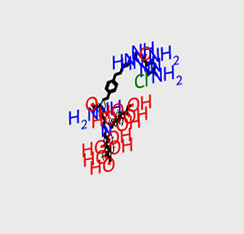 N=C(NCCCCc1ccc(CC[C@H](NCCCN(C[C@H](O)C(O)[C@H](O)[C@H](O)CO)C[C@H](O)[C@@H](O)[C@H](O)C(O)CO)C(N)=O)cc1)NC(=O)c1nc(Cl)c(N)nc1N